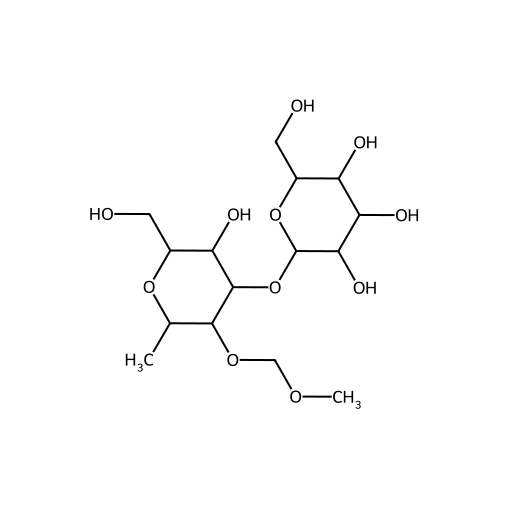 COCOC1C(C)OC(CO)C(O)C1OC1OC(CO)C(O)C(O)C1O